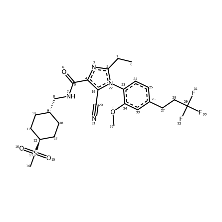 CCc1nc(C(=O)NC[C@H]2CC[C@H](S(C)(=O)=O)CC2)c(C#N)n1-c1ccc(CCC(F)(F)F)cc1OC